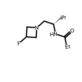 CCC(=O)N[C@H](CN1CC(F)C1)C(C)C